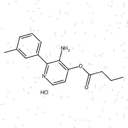 CCCC(=O)Oc1ccnc(-c2cccc(C)c2)c1N.Cl